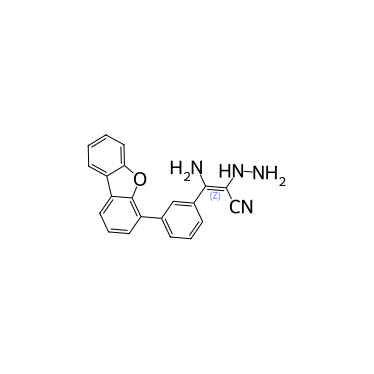 N#C/C(NN)=C(/N)c1cccc(-c2cccc3c2oc2ccccc23)c1